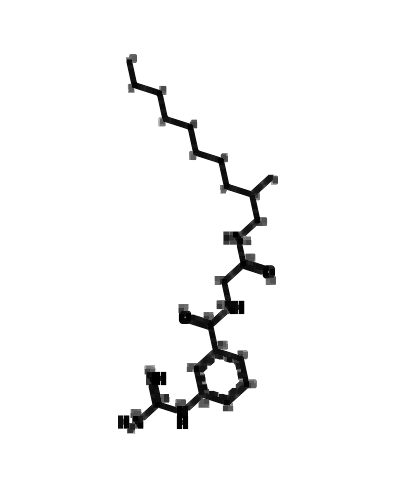 CCCCCCCCC(C)CNC(=O)CNC(=O)c1cccc(NC(=N)N)c1